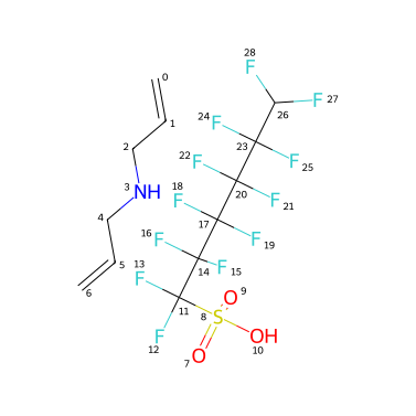 C=CCNCC=C.O=S(=O)(O)C(F)(F)C(F)(F)C(F)(F)C(F)(F)C(F)(F)C(F)F